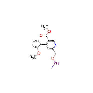 COC(=O)c1cnc(COPI)cc1C1C=CC=C1OC